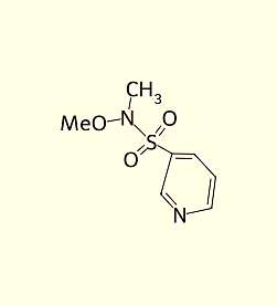 CON(C)S(=O)(=O)c1cccnc1